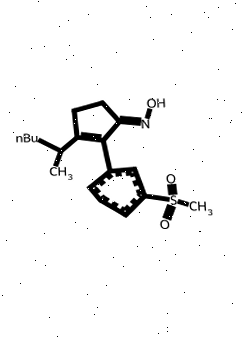 CCCCC(C)C1=C(c2cccc(S(C)(=O)=O)c2)/C(=N/O)CC1